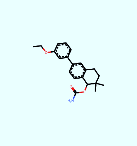 CCOc1cccc(-c2ccc3c(c2)CCC(C)(C)C3OC(N)=O)c1